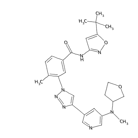 Cc1ccc(C(=O)Nc2cc(C(C)(C)C)on2)cc1-n1cc(-c2cncc(N(C)C3CCOC3)c2)nn1